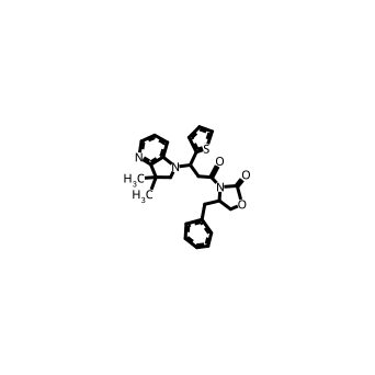 CC1(C)CN(C(CC(=O)N2C(=O)OCC2Cc2ccccc2)c2cccs2)c2cccnc21